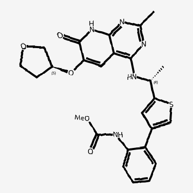 COC(=O)Nc1ccccc1-c1csc([C@@H](C)Nc2nc(C)nc3[nH]c(=O)c(O[C@H]4CCOC4)cc23)c1